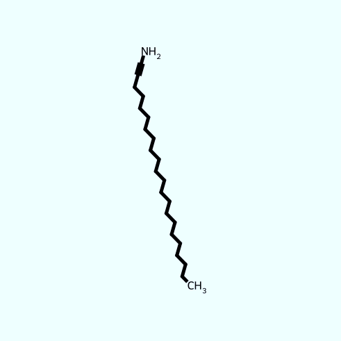 CCCCCCCCCCCCCCCCCCCCC#CN